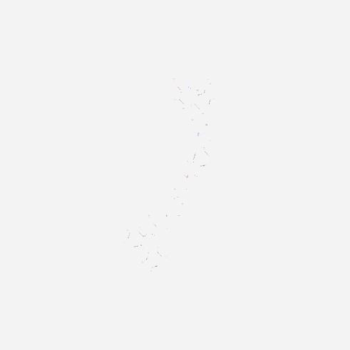 COc1cc(NC(=O)CCN2CCC(OC(=O)Nc3ccccc3-c3ccccc3)CC2)c(Cl)cc1CNCSc1ccc(O)c2[nH]c(=O)ccc12